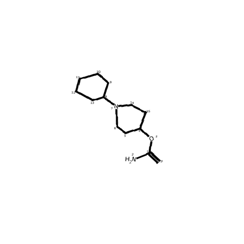 C=C(N)OC1CCN(C2CCCCC2)CC1